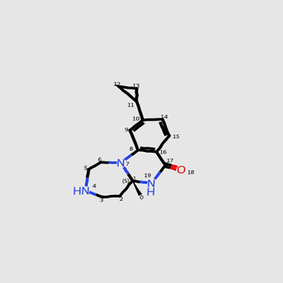 C[C@@]12CCNCCN1c1cc(C3CC3)ccc1C(=O)N2